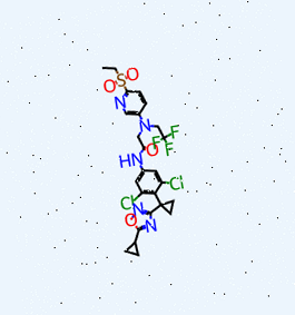 CCS(=O)(=O)c1ccc(N(CC(=O)Nc2cc(Cl)c(C3(c4noc(C5CC5)n4)CC3)c(Cl)c2)CC(F)(F)F)cn1